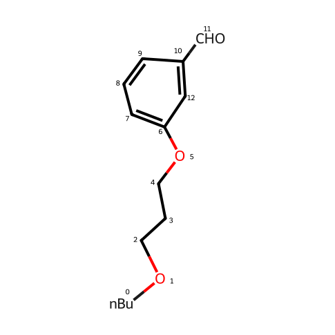 CCCCOCCCOc1cccc(C=O)c1